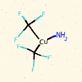 [NH2][Cu]([C](F)(F)F)[C](F)(F)F